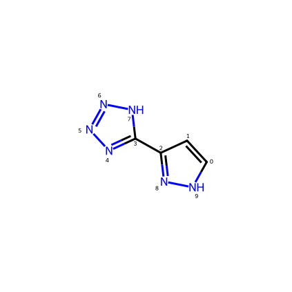 c1cc(-c2nnn[nH]2)n[nH]1